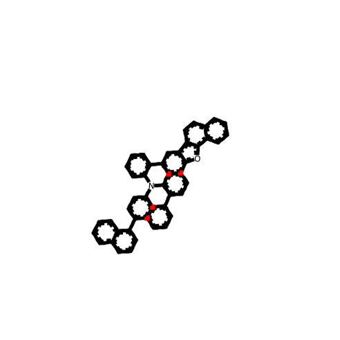 c1ccc(-c2ccccc2N(c2ccc(-c3cccc4ccccc34)cc2)c2ccccc2-c2ccc3oc4c5ccccc5ccc4c3c2)cc1